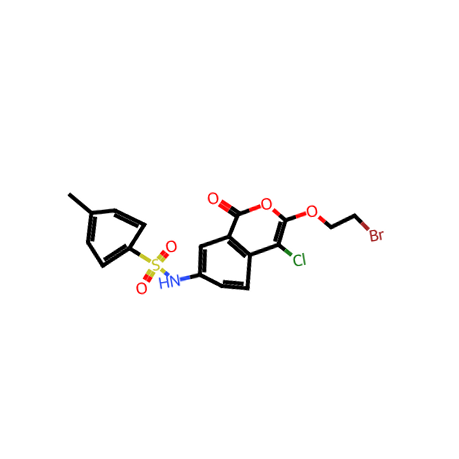 Cc1ccc(S(=O)(=O)Nc2ccc3c(Cl)c(OCCBr)oc(=O)c3c2)cc1